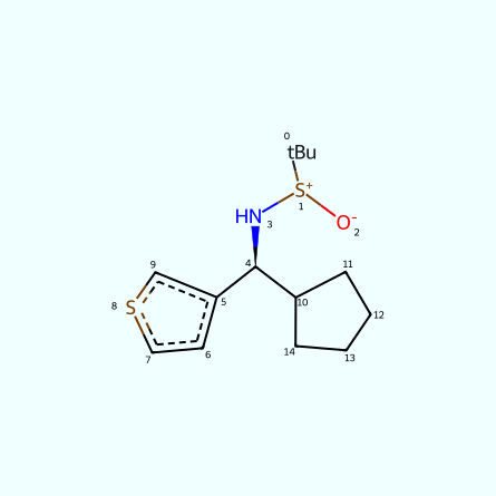 CC(C)(C)[S+]([O-])N[C@H](c1ccsc1)C1CCCC1